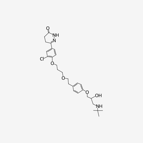 CC(C)(C)NCC(O)COc1ccc(CCOCCCOc2ccc(C3=NNC(=O)CC3)cc2Cl)cc1